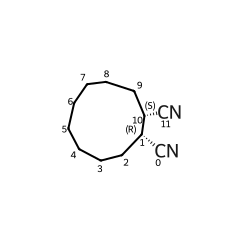 N#C[C@@H]1CCCCCCCC[C@@H]1C#N